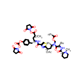 CCCC(=O)OCN(C(=O)[C@H](NC(=O)[C@@H]1CCCCN1C)C(C)CC)[C@@H](C[C@H](OC(C)=O)c1nc(C(=O)N[C@H](Cc2ccc(OC(=O)ON3C(=O)CCC3=O)cc2)C[C@@H](C)C(=O)ON2C(=O)CCC2=O)cs1)C(C)C